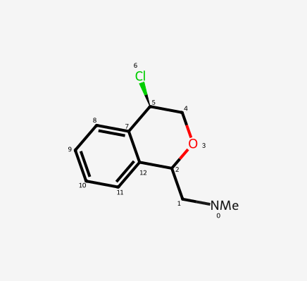 CNCC1OC[C@H](Cl)c2ccccc21